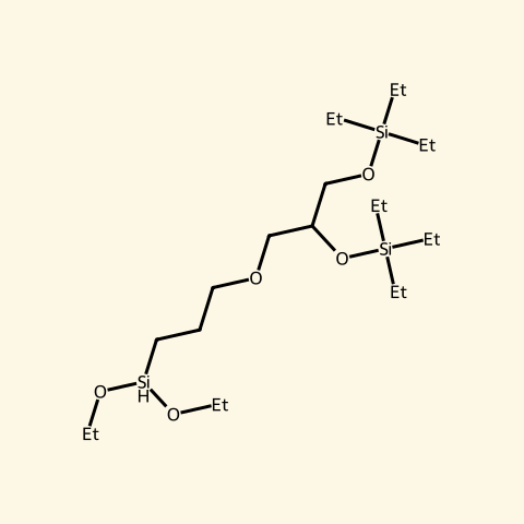 CCO[SiH](CCCOCC(CO[Si](CC)(CC)CC)O[Si](CC)(CC)CC)OCC